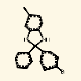 Cc1ccc2c(c1)NC(c1ccccc1)(c1ccc(Br)cc1)N2